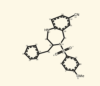 COc1ccc(S(=O)(=O)N2Cc3cc(C#N)ccc3NCC2Cc2ccccc2)cc1